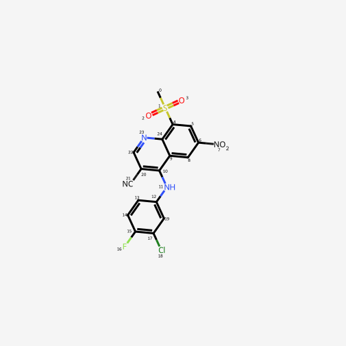 CS(=O)(=O)c1cc([N+](=O)[O-])cc2c(Nc3ccc(F)c(Cl)c3)c(C#N)cnc12